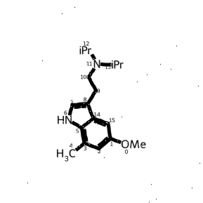 COc1cc(C)c2[nH]cc(CCN(C(C)C)C(C)C)c2c1